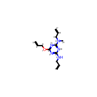 C=CCNc1nc(OCC=C)nc(N(C)CC=C)n1